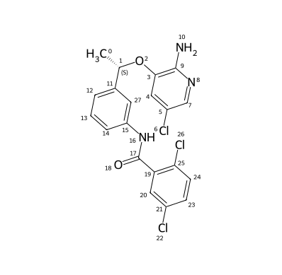 C[C@H](Oc1cc(Cl)cnc1N)c1cccc(NC(=O)c2cc(Cl)ccc2Cl)c1